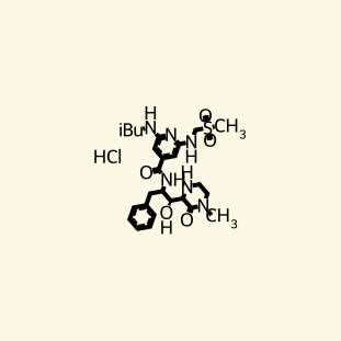 CCC(C)Nc1cc(C(=O)NC(Cc2ccccc2)[C@H](O)C2NCCN(C)C2=O)cc(NCS(C)(=O)=O)n1.Cl